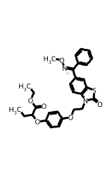 CCOC(=O)C(CC)Oc1ccc(OCCn2c(=O)sc3cc(/C(=N/OC)c4ccccc4)ccc32)cc1